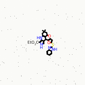 CCOC(=O)c1[nH]cc2c1NC1=C(C(=O)CC(C)(C)C1)C2c1ccc(SC2=NC3C=CC=CC3N2)o1